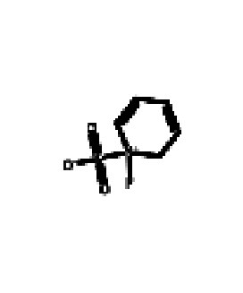 O=S(=O)([O-])[N+]1(F)C=CC=CC1